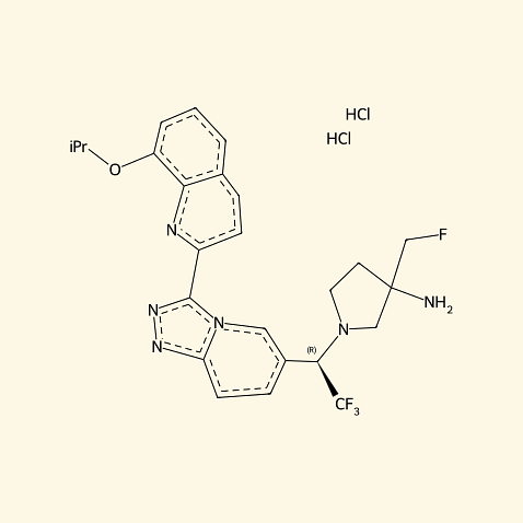 CC(C)Oc1cccc2ccc(-c3nnc4ccc([C@@H](N5CCC(N)(CF)C5)C(F)(F)F)cn34)nc12.Cl.Cl